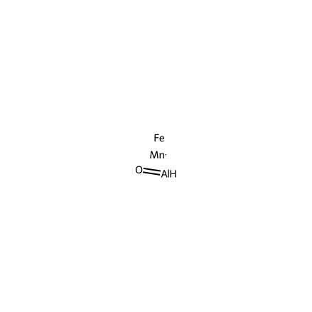 [Fe].[Mn].[O]=[AlH]